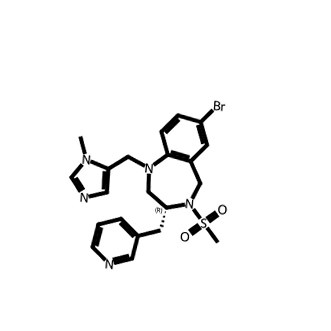 Cn1cncc1CN1C[C@@H](Cc2cccnc2)N(S(C)(=O)=O)Cc2cc(Br)ccc21